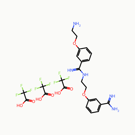 N=C(N)c1cccc(OCCNC(=N)c2cccc(OCCN)c2)c1.O=C(O)C(F)(F)F.O=C(O)C(F)(F)F.O=C(O)C(F)(F)F